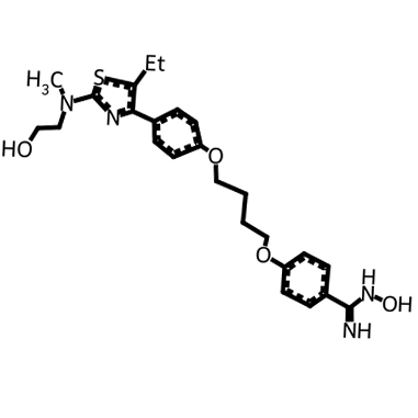 CCc1sc(N(C)CCO)nc1-c1ccc(OCCCCOc2ccc(C(=N)NO)cc2)cc1